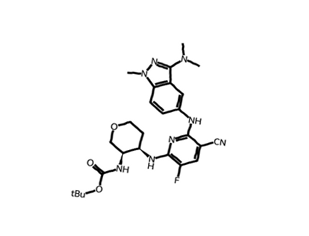 CN(C)c1nn(C)c2ccc(Nc3nc(N[C@@H]4CCOC[C@@H]4NC(=O)OC(C)(C)C)c(F)cc3C#N)cc12